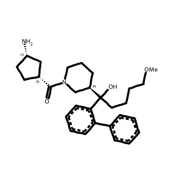 COCCCCC(O)(c1ccccc1-c1ccccc1)[C@@H]1CCCN(C(=O)[C@@H]2CC[C@H](N)C2)C1